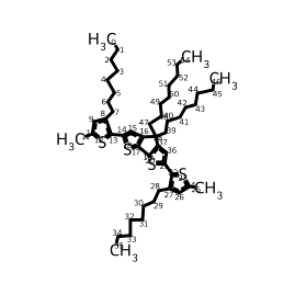 CCCCCCCCc1cc(C)sc1-c1cc2c(s1)-c1sc(-c3sc(C)cc3CCCCCCCC)cc1C2(CCCCCCCC)CCCCCCCC